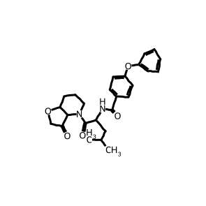 CC(C)CC(NC(=O)c1ccc(Oc2ccccc2)cc1)C(=O)N1CCCC2OCC(=O)C21